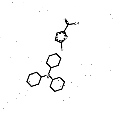 C1CC[CH]([SnH]([CH]2CCCCC2)[CH]2CCCCC2)CC1.O=C(O)c1ccc(Br)o1